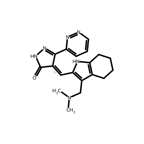 CN(C)Cc1c(/C=C2/C(=O)NN=C2c2cccnn2)[nH]c2c1CCCC2